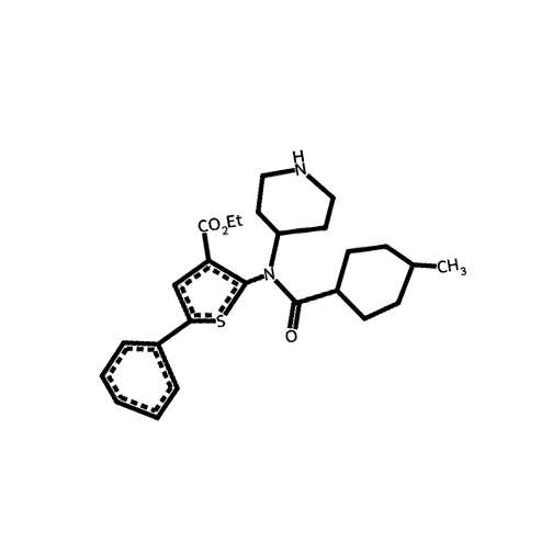 CCOC(=O)c1cc(-c2ccccc2)sc1N(C(=O)C1CCC(C)CC1)C1CCNCC1